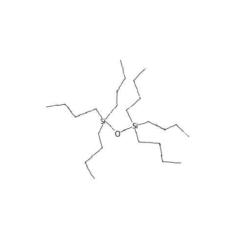 CCCC[Si](CCCC)(CCCC)O[Si](CCCC)(CCCC)CCCC